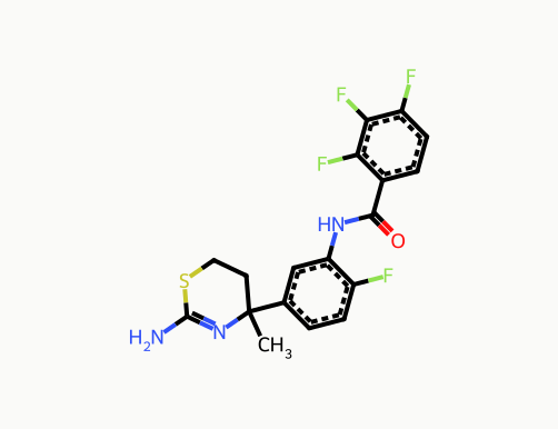 CC1(c2ccc(F)c(NC(=O)c3ccc(F)c(F)c3F)c2)CCSC(N)=N1